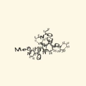 C=CC(=O)N1CCCC[C@@H](n2c(NC(=O)c3ccnc(OC)c3)nc3ccc(OC4CCCCC4)c(Cl)c32)C1